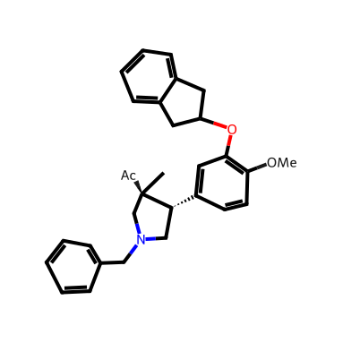 COc1ccc([C@@H]2CN(Cc3ccccc3)C[C@@]2(C)C(C)=O)cc1OC1Cc2ccccc2C1